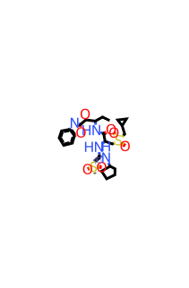 CCC(NC(=O)C(CS(=O)(=O)CC1CC1)N/C(=C/S(C)(=O)=O)NC1CCCC1)C(=O)c1nc2ccccc2o1